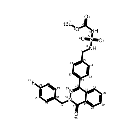 CC(C)(C)OC(=O)NS(=O)(=O)NCc1ccc(-c2nn(Cc3ccc(F)cc3)c(=O)c3ccccc23)cc1